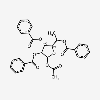 CC(=O)OC1O[C@H](C(C)OC(=O)c2ccccc2)[C@@H](OC(=O)c2ccccc2)C1OC(=O)c1ccccc1